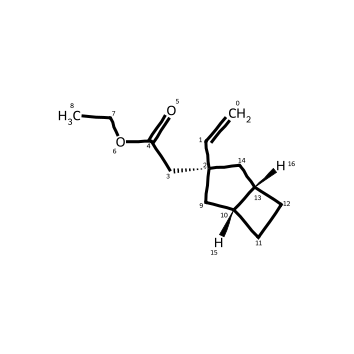 C=C[C@]1(CC(=O)OCC)C[C@H]2CC[C@H]2C1